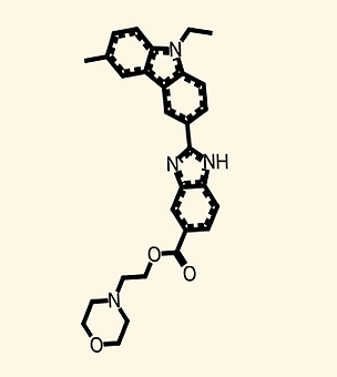 CCn1c2ccc(C)cc2c2cc(-c3nc4cc(C(=O)OCCN5CCOCC5)ccc4[nH]3)ccc21